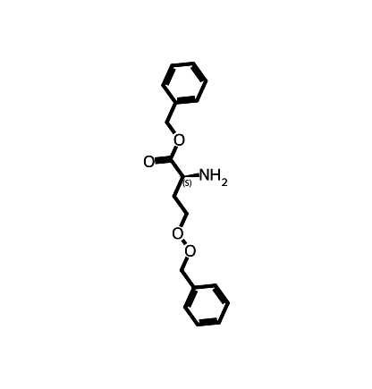 N[C@@H](CCOOCc1ccccc1)C(=O)OCc1ccccc1